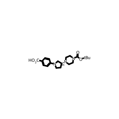 CC(C)(C)OC(=O)N1CCN([C@@H]2CCN(c3ccc(C(=O)O)cc3)C2)CC1